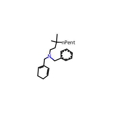 CCCCCC(C)(C)CCN(CC1=CCCC=C1)Cc1ccccc1